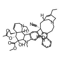 CCC1=C[C@@H]2CN(CCc3c([nH]c4ccccc34)[C@@](C#N)(c3cc4c(cc3OC)N(C)C3C(O)(C(=O)OC)[C@H](OC(C)=O)[C@]5(CC)C=CCN6CC[C@]43[C@@H]65)C2)C1